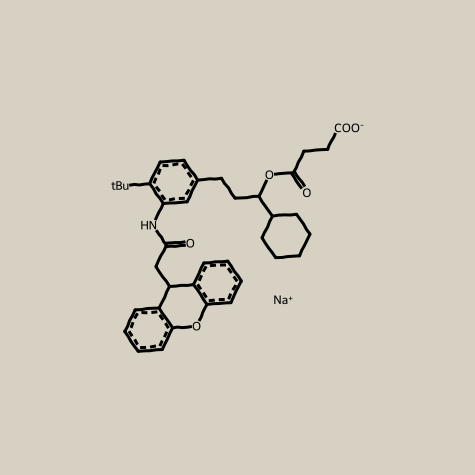 CC(C)(C)c1ccc(CCC(OC(=O)CCC(=O)[O-])C2CCCCC2)cc1NC(=O)CC1c2ccccc2Oc2ccccc21.[Na+]